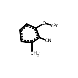 [CH2]c1cccc(OCCC)c1C#N